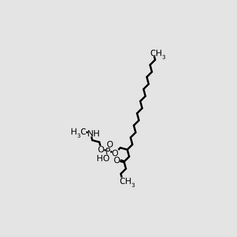 CCCCCCCCCCCCCCCCC(COP(=O)(O)OCCNC)CC(=O)CCC